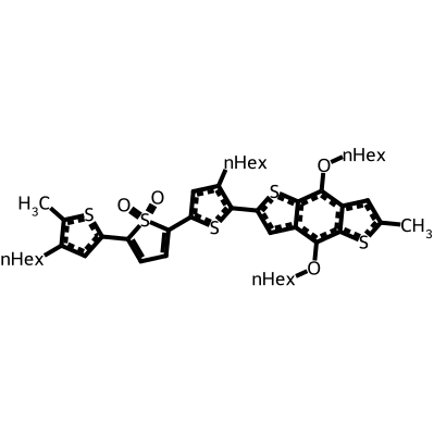 CCCCCCOc1c2cc(-c3sc(C4=CC=C(c5cc(CCCCCC)c(C)s5)S4(=O)=O)cc3CCCCCC)sc2c(OCCCCCC)c2cc(C)sc12